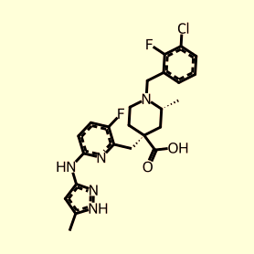 Cc1cc(Nc2ccc(F)c(C[C@]3(C(=O)O)CCN(Cc4cccc(Cl)c4F)[C@H](C)C3)n2)n[nH]1